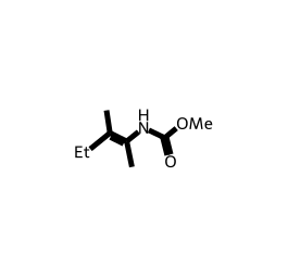 CC/C(C)=C(\C)NC(=O)OC